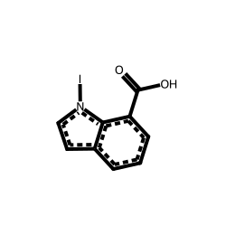 O=C(O)c1cccc2ccn(I)c12